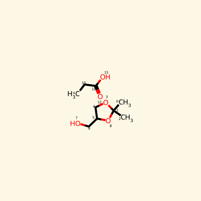 CC1(C)OCC(CO)O1.CCC(=O)O